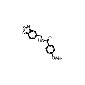 COc1ccc(C(=O)NCc2ccc3nsnc3c2)cc1